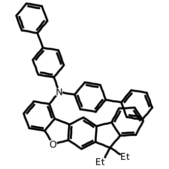 CCC1(CC)c2ccccc2-c2cc3c(cc21)oc1cccc(N(c2ccc(-c4ccccc4)cc2)c2ccc(-c4ccccc4)cc2)c13